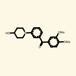 COc1ccc(C(=O)c2cccc(N3CCC(O)CC3)c2)cc1OC